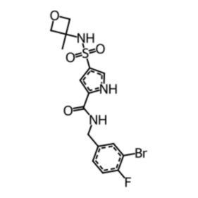 CC1(NS(=O)(=O)c2c[nH]c(C(=O)NCc3ccc(F)c(Br)c3)c2)COC1